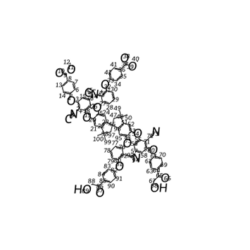 [C-]#[N+]c1c(Oc2ccc(C(=O)OC)cc2)cccc1Oc1cc2c(cc1Oc1cccc(Oc3ccc(C(=O)OC)cc3)c1[N+]#[C-])C1(CC(C)(C)c3cc(Oc4cccc(Oc5ccc(C(=O)CO)cc5)c4C#N)c(Oc4cccc(Oc5ccc(C(=O)CO)cc5)c4C#N)cc31)CC2(C)C